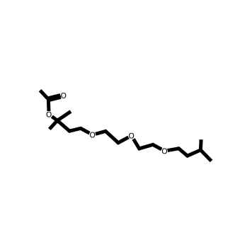 CC(=O)OC(C)(C)CCOCCOCCOCCC(C)C